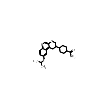 CC(C)Oc1ccc2ncc3c(c2c1)CC(C1CCC(C(N)=O)CC1)CO3